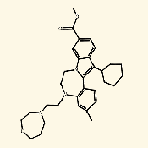 COC(=O)c1ccc2c(C3CCCCC3)c3n(c2c1)CCN(CCN1CCCOCC1)c1cc(C)ccc1-3